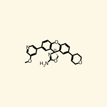 COc1cncc(-c2ccc3c(c2)[C@@]2(COC(N)=N2)c2cc(C4=CCOCC4)ccc2O3)c1